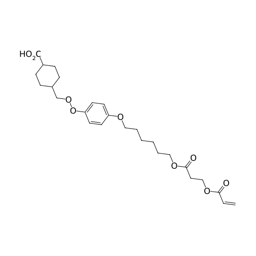 C=CC(=O)OCCC(=O)OCCCCCCOc1ccc(OOCC2CCC(C(=O)O)CC2)cc1